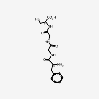 N[C@@H](Cc1ccccc1)C(=O)NCC(=O)NCC(=O)N[C@@H](CS)C(=O)O